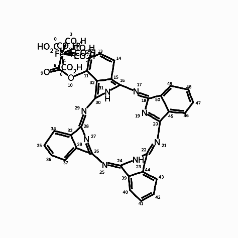 O=[C](O)[Fe]([C](=O)O)([C](=O)O)([C](=O)O)([C](=O)O)([C](=O)O)([C](=O)O)[C](=O)Oc1cccc2c3nc4nc(nc5[nH]c(nc6nc(nc([nH]3)c12)-c1ccccc1-6)c1ccccc51)-c1ccccc1-4